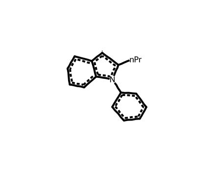 CCCc1[c]c2ccccc2n1-c1ccccc1